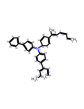 C=C/C=C\C=C(/C)C1=CCC(N(c2ccc(C(/C=C\C)=C/CC)cc2)c2ccc(-c3ccccc3)cc2)C=C1